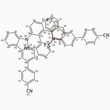 N#Cc1ccc(-c2ccc3c(c2)c2ccccc2n3-c2cccc(C#N)c2-c2c(-c3c(C(F)(F)F)cccc3C(F)(F)F)cccc2-n2c3ccccc3c3cc(-c4ccc(C#N)cc4)ccc32)cc1